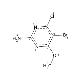 COc1nc(N)nc(Cl)c1Br